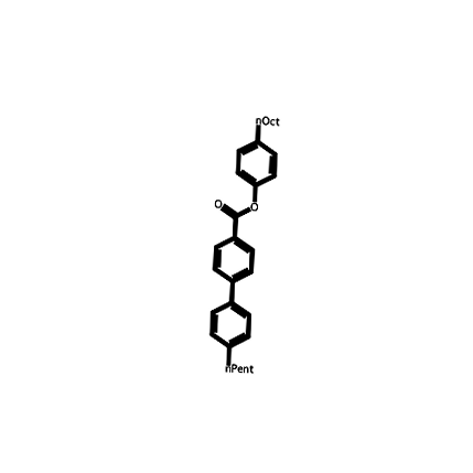 CCCCCCCCc1ccc(OC(=O)c2ccc(-c3ccc(CCCCC)cc3)cc2)cc1